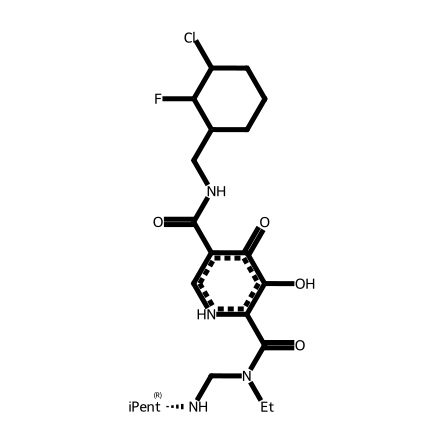 CCC[C@@H](C)NCN(CC)C(=O)c1[nH]cc(C(=O)NCC2CCCC(Cl)C2F)c(=O)c1O